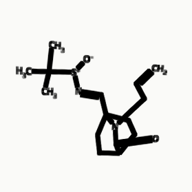 C=CCN1C(=O)C2CCC1(C=N[S+]([O-])C(C)(C)C)CC2